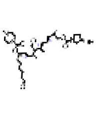 C/C(=C\C=C\[C@@H](C)COC(=O)N1CC[C@@H](O)C1)[C@@H](C=O)[C@@H](C)/C=C/[C@@H](CCCCCC=O)OC(=O)N1CCN(C)CC1